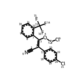 N#CC(=C(OSCl)c1ccccc1C(F)(F)F)c1ccc(Cl)cc1